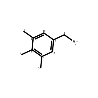 CC(=O)Cc1cc(C)c(C)c(C)c1